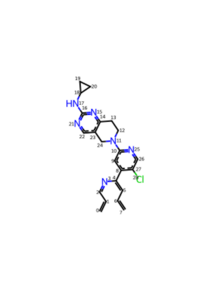 C=C/C=N\C(=C/C=C)c1cc(N2CCc3nc(NC4CC4)ncc3C2)ncc1Cl